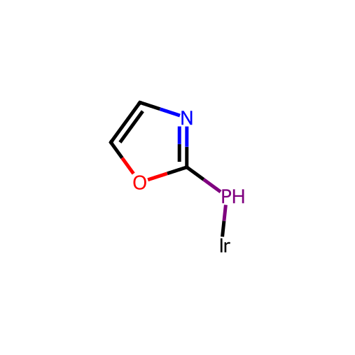 [Ir][PH]c1ncco1